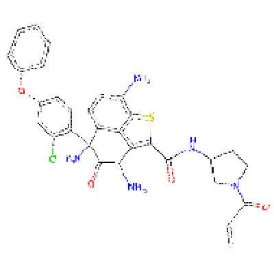 C=CC(=O)N1CCC(NC(=O)c2sc3c(N)ccc4c3c2C(N)C(=O)C4(N)c2ccc(Oc3ccccc3)cc2Cl)C1